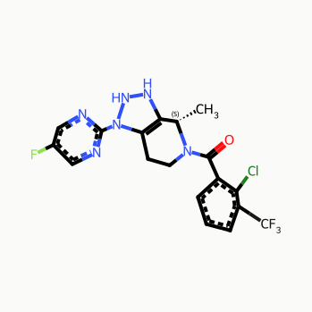 C[C@H]1C2=C(CCN1C(=O)c1cccc(C(F)(F)F)c1Cl)N(c1ncc(F)cn1)NN2